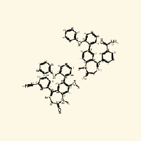 CN1C(=O)CN=C(c2cccc(C(N)=O)c2)c2cc(-c3ccccc3Oc3ccccc3)ccc21.COc1cc2c(cc1-c1ccccc1Oc1ccccc1)C(c1cccc(C#N)c1)=NCC(=O)N2C